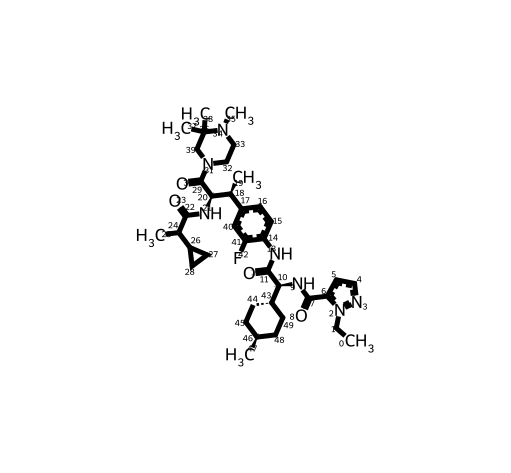 CCn1nccc1C(=O)N[C@H](C(=O)Nc1ccc([C@H](C)[C@@H](NC(=O)C(C)C2CC2)C(=O)N2CCN(C)C(C)(C)C2)cc1F)[C@H]1CC[C@H](C)CC1